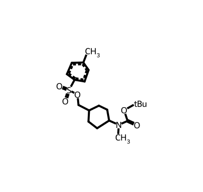 Cc1ccc(S(=O)(=O)OCC2CCC(N(C)C(=O)OC(C)(C)C)CC2)cc1